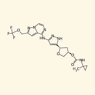 CC1(NC(=O)O[C@H]2CO[C@@H](c3cc(Nc4nccn5nc(COC(F)(F)F)cc45)n[nH]3)C2)CC1